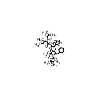 CC[C@H](C)[C@H](NCC(C)C)C(=O)NC(=O)[C@@H](C[C@@H]1OC(C)(C)N(C(=O)OC(C)(C)C)[C@H]1CC1CCCCC1)C(C)C